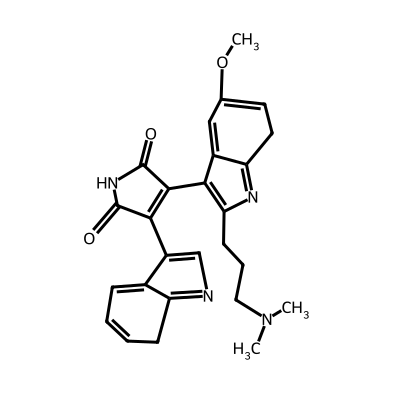 COC1=CCC2=NC(CCCN(C)C)=C(C3=C(C4=CN=C5CC=CC=C45)C(=O)NC3=O)C2=C1